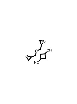 C(OCC1CO1)C1CO1.OC1CC(O)C1